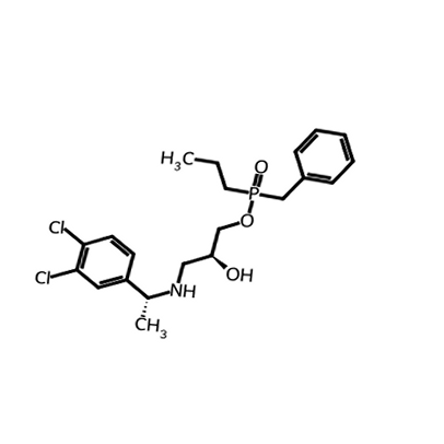 CCCP(=O)(Cc1ccccc1)OC[C@@H](O)CN[C@H](C)c1ccc(Cl)c(Cl)c1